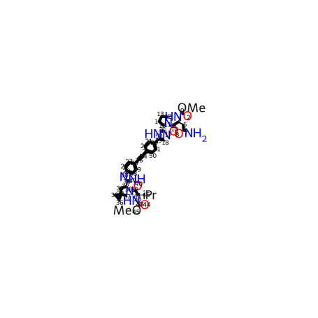 COC(=O)N[C@@H](CC(N)=O)C(=O)N1CCC[C@H]1c1ncc(-c2ccc(C#Cc3ccc4nc([C@@H]5CC6(CC6)CN5C(=O)[C@@H](NC(=O)OC)C(C)C)[nH]c4c3)cc2)[nH]1